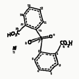 O=C(O)c1ccccc1S(=O)(=O)c1ccccc1C(=O)O.[Ni]